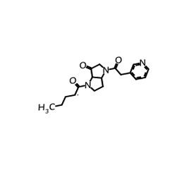 CCC[CH]C(=O)N1CCC2C1C(=O)CN2C(=O)Cc1cccnc1